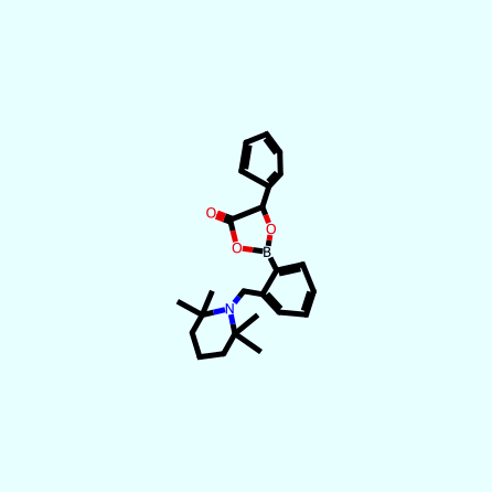 CC1(C)CCCC(C)(C)N1Cc1ccccc1B1OC(=O)C(c2ccccc2)O1